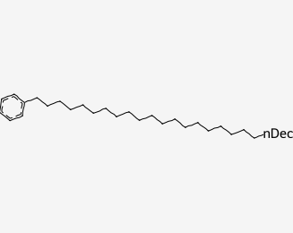 [CH2]CCCCCCCCCCCCCCCCCCCCCCCCCCCCCc1ccccc1